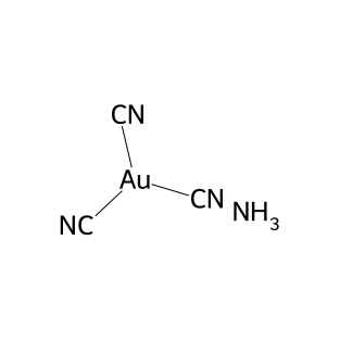 N.N#[C][Au]([C]#N)[C]#N